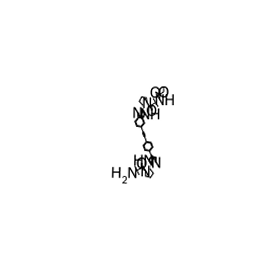 COC(=O)NC(C)(C)C(=O)N1CCC[C@H]1c1nc2ccc(C#Cc3ccc(-c4cnc([C@@H]5CCCN5C(=O)C(C)(C)N)[nH]4)cc3)cc2[nH]1